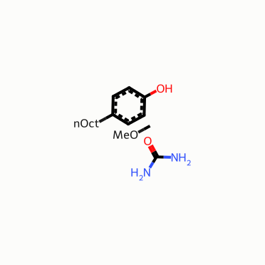 CCCCCCCCc1ccc(O)cc1.COC.NC(N)=O